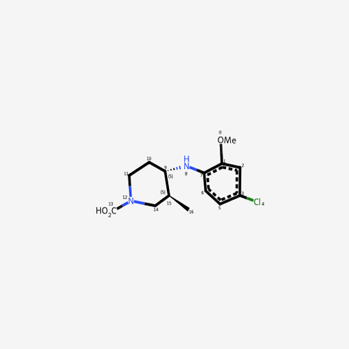 COc1cc(Cl)ccc1N[C@H]1CCN(C(=O)O)C[C@@H]1C